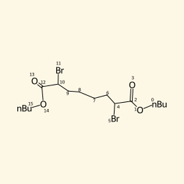 CCCCOC(=O)C(Br)CCCCC(Br)C(=O)OCCCC